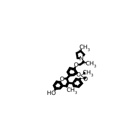 CC1=C(c2cccc(S(C)(=O)=O)c2)C(c2ccc(OC[C@H](C)N3CC[C@@H](C)C3)cc2)Oc2ccc(O)cc21